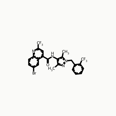 Cc1nn(Cc2ccccc2C(F)(F)F)c(C)c1NC(=O)c1cc(C(F)(F)F)nc2ccc(Br)cc12